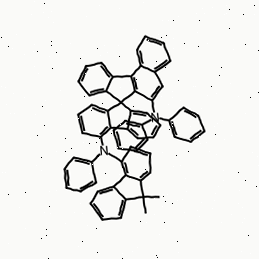 CC1(C)c2ccccc2-c2c(N(c3ccccc3)c3cccc4c3-c3ccccc3C43c4ccccc4-c4c3c(N(c3ccccc3)c3ccccc3)cc3ccccc43)cccc21